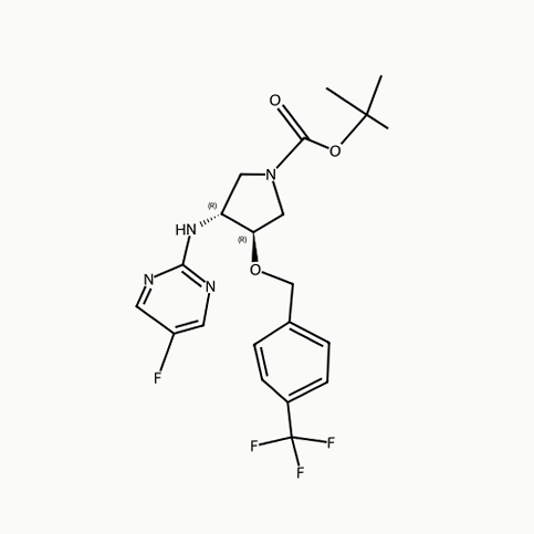 CC(C)(C)OC(=O)N1C[C@@H](Nc2ncc(F)cn2)[C@H](OCc2ccc(C(F)(F)F)cc2)C1